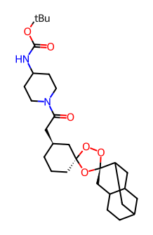 CC(C)(C)OC(=O)NC1CCN(C(=O)C[C@@H]2CCC[C@]3(C2)OO[C@@]2(CC4CCC5CC4CC2C5)O3)CC1